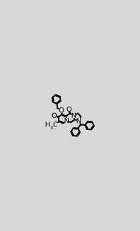 Cc1cn2c(c(OCc3ccccc3)c1=O)C(=O)N1CCN(C(c3ccccc3)c3ccccc3)C1C2